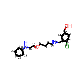 OCc1ccc(Cl)c(CNCCCCOCCNc2ccccc2)c1